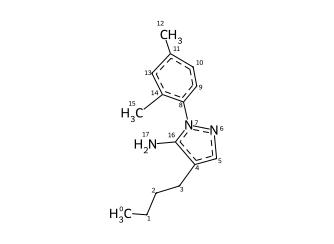 CCCCc1cnn(-c2ccc(C)cc2C)c1N